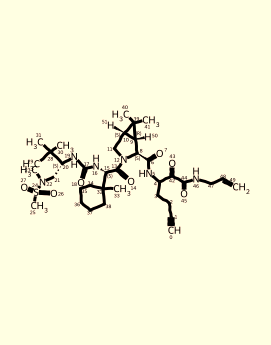 C#CCCC(NC(=O)[C@@H]1[C@@H]2[C@H](CN1C(=O)[C@@H](NC(=O)N[C@H](CN(C)S(C)(=O)=O)C(C)(C)C)C1(C)CCCCC1)C2(C)C)C(=O)C(=O)NCC=C